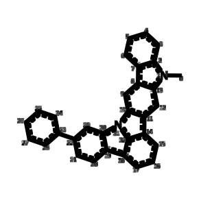 Cn1c2ccccc2c2cc3c(cc21)c1cccc2c4ccc(-c5ccccc5)cc4n3c21